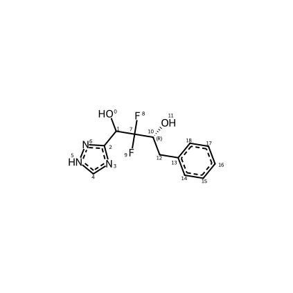 OC(c1nc[nH]n1)C(F)(F)[C@H](O)Cc1ccccc1